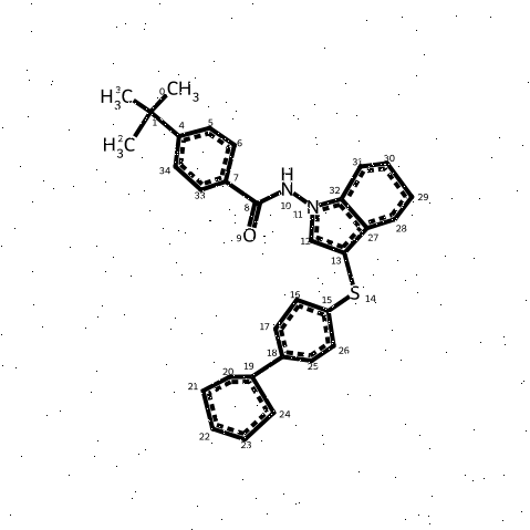 CC(C)(C)c1ccc(C(=O)Nn2cc(Sc3ccc(-c4ccccc4)cc3)c3ccccc32)cc1